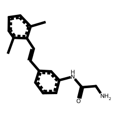 Cc1cccc(C)c1/C=C/c1cccc(NC(=O)CN)c1